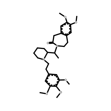 COc1cc2c(cc1OC)CC(=O)N(C(C)C1CCCCN1CCc1cc(OC)c(OC)c(OC)c1)CC2